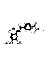 CCCCOc1cc(OCCCC)c(C=CC(=O)c2ccc(C(=O)N(C)C)cc2)cc1C